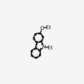 CCOc1ccc2c3ccccc3n(CC)c2c1